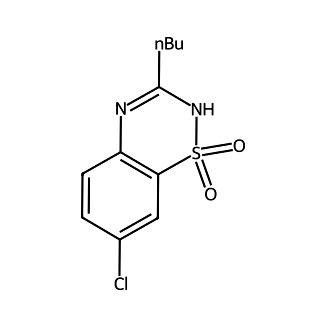 CCCCC1=Nc2ccc(Cl)cc2S(=O)(=O)N1